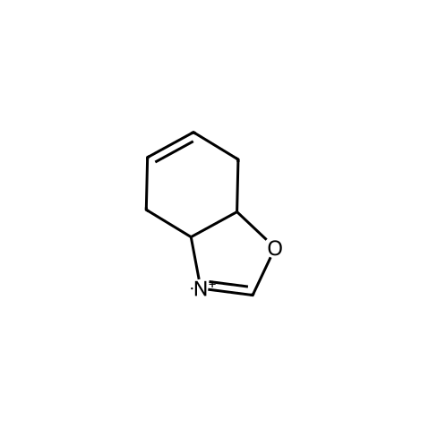 C1=CCC2OC=[N+]C2C1